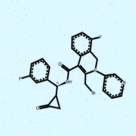 O=C(N[C@H](c1cccc(F)c1)C1CC1=O)C1=C(CBr)N(c2cccnc2)Cc2c(F)cccc21